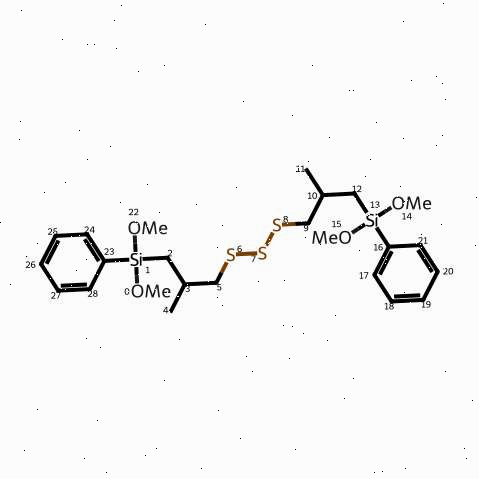 CO[Si](CC(C)CSSSCC(C)C[Si](OC)(OC)c1ccccc1)(OC)c1ccccc1